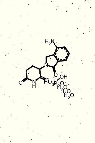 Nc1cccc2c1CN(C1CCC(=O)NC1=O)C2=O.O.O.O.O.O=S(=O)(O)O